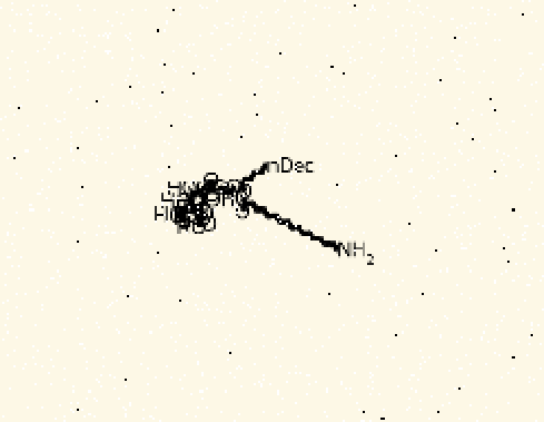 CCCCCCCCCCCCCCCC(=O)O[C@H](COC(=O)CCCCCCCCCCCCCCCCN)COP(=O)(O)OC1C(O)[C@@H](OP(=O)(O)O)C(OP(=O)(O)O)[C@@H](O)[C@H]1O